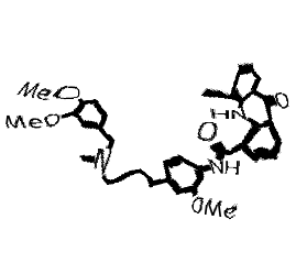 COc1cc(CCCN(C)Cc2ccc(OC)c(OC)c2)ccc1NC(=O)c1cccc2c(=O)c3cccc(C)c3[nH]c12